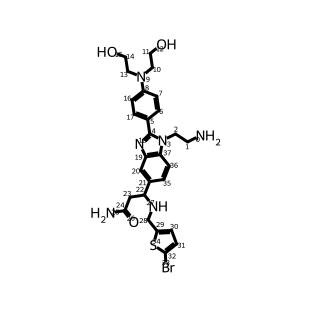 NCCn1c(-c2ccc(N(CCO)CCO)cc2)nc2cc(C(CC(N)=O)NCc3ccc(Br)s3)ccc21